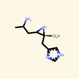 CC(N)CC1N[C@@]1(Cc1c[nH]cn1)C(=O)O